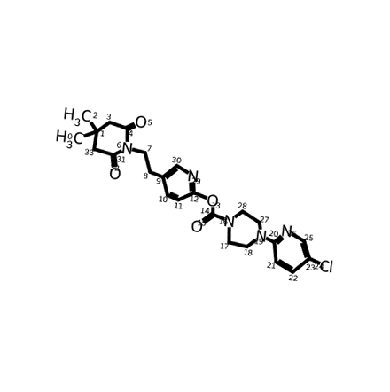 CC1(C)CC(=O)N(CCc2ccc(OC(=O)N3CCN(c4ccc(Cl)cn4)CC3)nc2)C(=O)C1